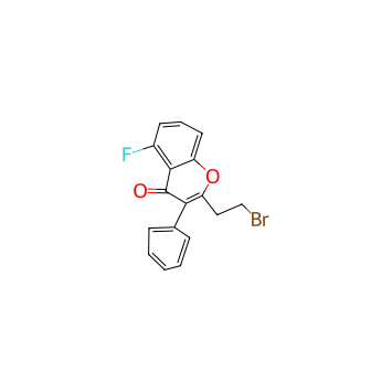 O=c1c(-c2ccccc2)c(CCBr)oc2cccc(F)c12